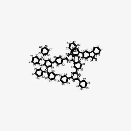 CC1(C)c2ccccc2-c2cc3c4ccccc4n(-c4ccc(-c5nc(-c6ccccc6)cc(-c6ccccc6)n5)cc4-c4nc(-c5ccccc5)nc(-c5ccc(-c6cc7c8c(c6)N(c6ccccc6)c6ccccc6B8c6ccccc6N7c6ccccc6)cc5)n4)c3cc21